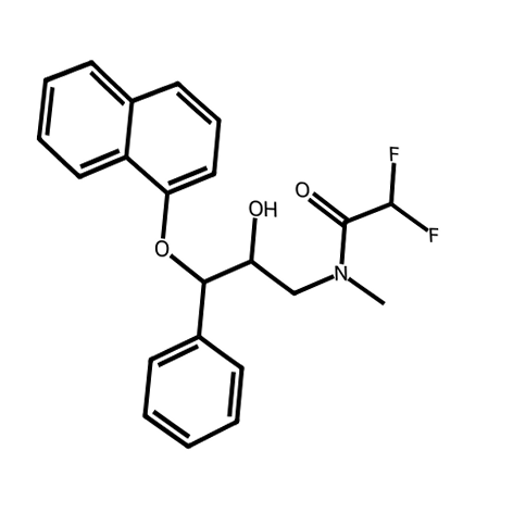 CN(CC(O)C(Oc1cccc2ccccc12)c1ccccc1)C(=O)C(F)F